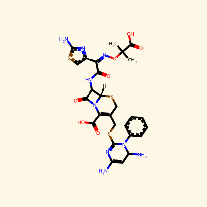 CC(C)(O/N=C(\C(=O)NC1C(=O)N2C(C(=O)O)=C(CSC3=NC(N)=CC(N)N3c3ccccc3)CS[C@@H]12)c1csc(N)n1)C(=O)O